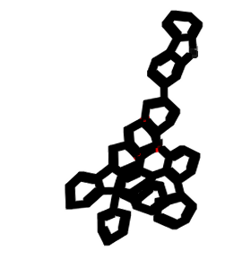 c1ccc(-c2ccccc2-c2c(-c3ccccc3)cccc2N(c2ccc(-c3ccc4c(c3)sc3ccccc34)cc2)c2ccc3c(c2)C(c2ccccc2)(c2ccccc2)c2ccccc2-3)cc1